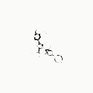 Cc1cc(-c2cn([C@H]3[C@@H]4CC(N5CCCOCC5)C[C@@H]43)c(C(C)C)n2)cnc1N